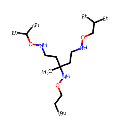 [CH2]C(CCNOCC(CC)CC)(CCNOC(CC)CCC)NOCCC(C)(C)C